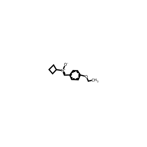 CCOc1ccc(C=[N+]([O-])C2CCC2)cc1